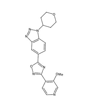 COc1cnccc1-c1noc(-c2ccc3c(c2)nnn3C2CCOCC2)n1